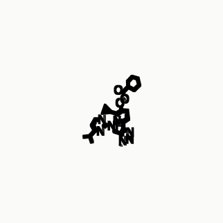 CC(C)c1ccnc(NCc2c(-c3ccc(OOC(=O)C4CCCCC4)c(C4CC4)n3)nnn2C)n1